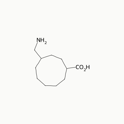 NCC1CCCCCC(C(=O)O)CC1